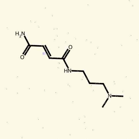 CN(C)CCCNC(=O)/C=C/C(N)=O